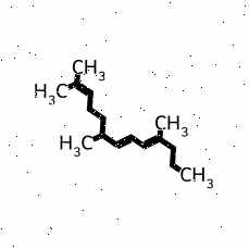 CCCC(C)=CC=CC(C)CCC=C(C)C